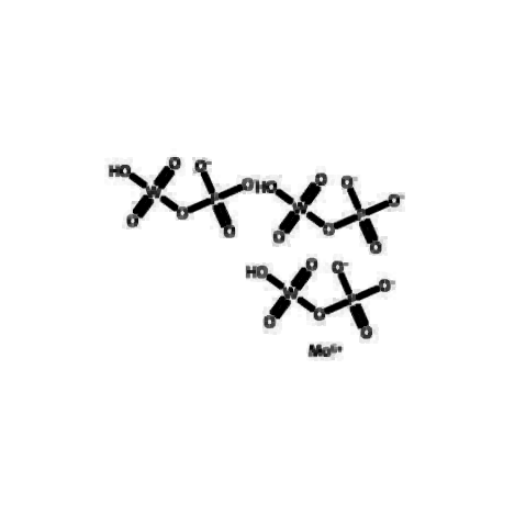 O=P([O-])([O-])[O][W](=[O])(=[O])[OH].O=P([O-])([O-])[O][W](=[O])(=[O])[OH].O=P([O-])([O-])[O][W](=[O])(=[O])[OH].[Mo+6]